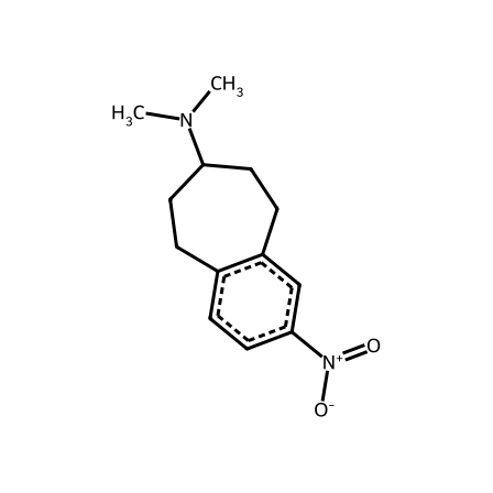 CN(C)C1CCc2ccc([N+](=O)[O-])cc2CC1